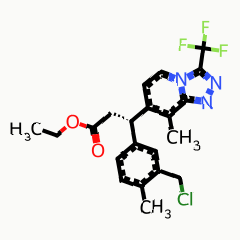 CCOC(=O)C[C@@H](c1ccc(C)c(CCl)c1)c1ccn2c(C(F)(F)F)nnc2c1C